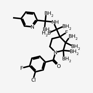 BC(B)(NC(B)(B)C1(F)CCN(C(=O)c2ccc(F)c(Cl)c2)C(B)(B)C1(B)B)c1ccc(C)cn1